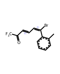 Cc1ccccc1/C(Br)=C\C=C\C(=O)C(F)(F)F